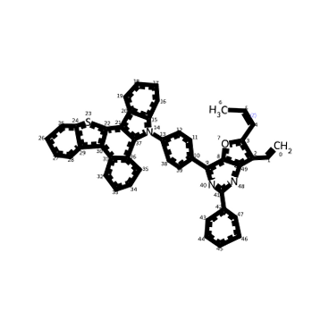 C=Cc1c(/C=C\C)oc2c(-c3ccc(-n4c5ccccc5c5c6sc7ccccc7c6c6ccccc6c54)cc3)nc(-c3ccccc3)nc12